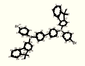 CC1(C)c2ccccc2-c2cc(N(c3ccc(Br)cc3)c3ccc(-c4ccc(N(c5ccc(Br)cc5)c5ccc6c(c5)-c5ccccc5C6(C)C)cc4)cc3)ccc21